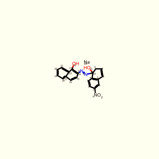 O=[N+]([O-])c1ccc2c(c1)C=CCC2(O)N=Nc1ccc2ccccc2c1O.[Na]